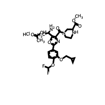 CC(=O)O.COC(=O)C1CN(C(=O)c2nc(-c3ccc(OC(F)F)c(OCC4CC4)c3)oc2C(C)N)CCN1.Cl